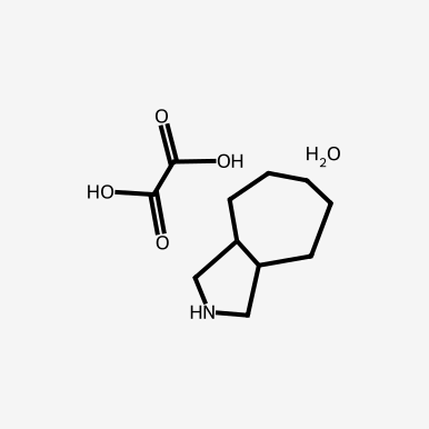 C1CCC2CNCC2CC1.O.O=C(O)C(=O)O